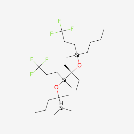 CCCC[Si](C)(CCC(F)(F)F)O[C@](C)(CC)[Si](C)(CCC(F)(F)F)OC(C)(CCC)[SiH](C)C